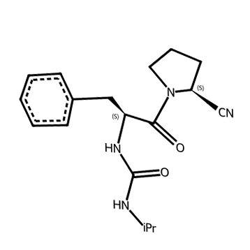 CC(C)NC(=O)N[C@@H](Cc1ccccc1)C(=O)N1CCC[C@H]1C#N